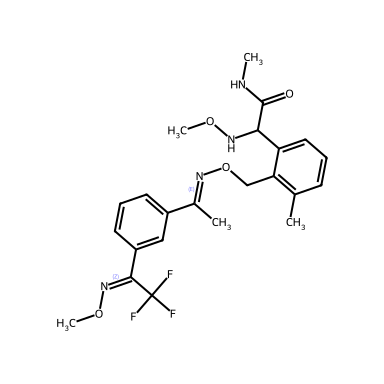 CNC(=O)C(NOC)c1cccc(C)c1CO/N=C(\C)c1cccc(/C(=N/OC)C(F)(F)F)c1